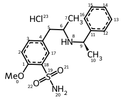 COc1ccc(CC(C)N[C@H](C)c2ccccc2)cc1S(N)(=O)=O.Cl